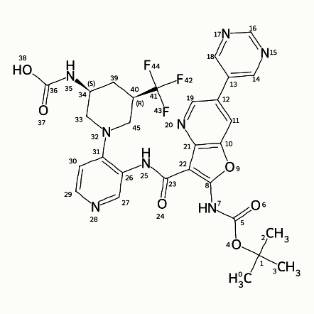 CC(C)(C)OC(=O)Nc1oc2cc(-c3cncnc3)cnc2c1C(=O)Nc1cnccc1N1C[C@@H](NC(=O)O)C[C@@H](C(F)(F)F)C1